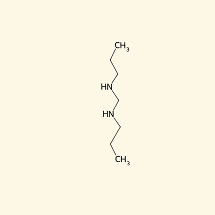 CCCNCNCCC